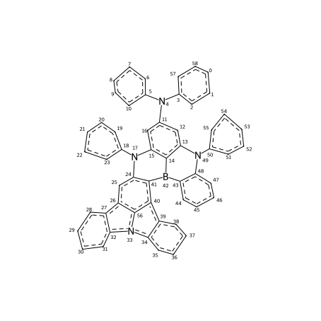 c1ccc(N(c2ccccc2)c2cc3c4c(c2)N(c2ccccc2)c2cc5c6ccccc6n6c7ccccc7c(c2B4c2ccccc2N3c2ccccc2)c56)cc1